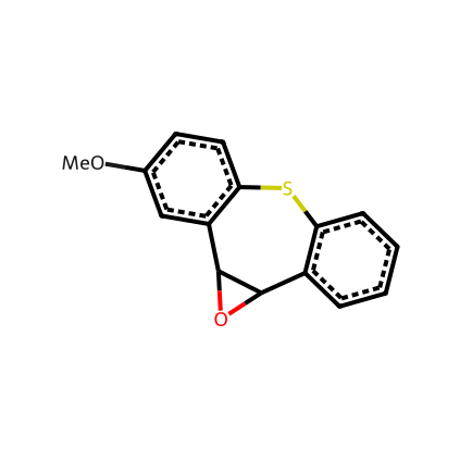 COc1ccc2c(c1)C1OC1c1ccccc1S2